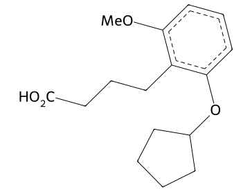 COc1cccc(OC2CCCC2)c1CCCC(=O)O